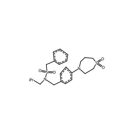 CC(C)CN(Cc1ccc(N2CCCS(=O)(=O)CC2)cc1)S(=O)(=O)Cc1ccccc1